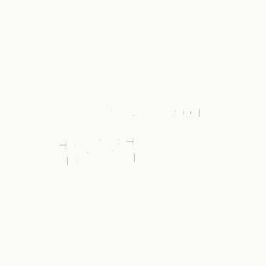 CC1(C)CCC(C)(C)c2cc(Sc3ccc(CCC(=O)O)cc3)ccc21